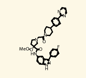 COO[C@@]1(C(=O)Nc2ccc3[nH]nc(-c4ccc(F)cc4)c3c2)CCN(CC(=O)N2CCC(c3ccc(-c4ncccn4)cc3)CC2)C1